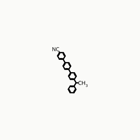 CC(c1ccccc1)c1ccc(-c2ccc(-c3ccc(C#N)cc3)cc2)cc1